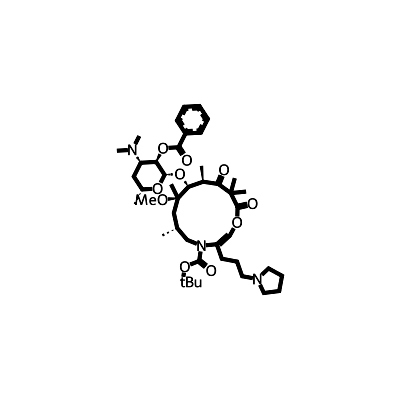 CO[C@]1(C)C[C@@H](C)CN(C(=O)OC(C)(C)C)C(CCCN2CCCC2)=COC(=O)C(C)(C)C(=O)[C@H](C)[C@H]1O[C@@H]1O[C@H](C)C[C@H](N(C)C)[C@H]1OC(=O)c1ccccc1